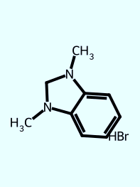 Br.CN1CN(C)c2ccccc21